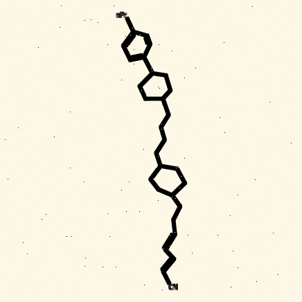 CCCc1ccc(C2CCC(CCCCC3CCC(CCC=CC=CC#N)CC3)CC2)cc1